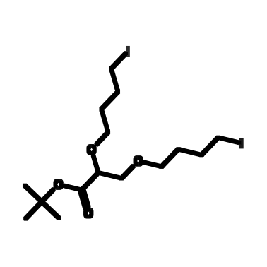 CC(C)(C)OC(=O)C(COCCCCI)OCCCCI